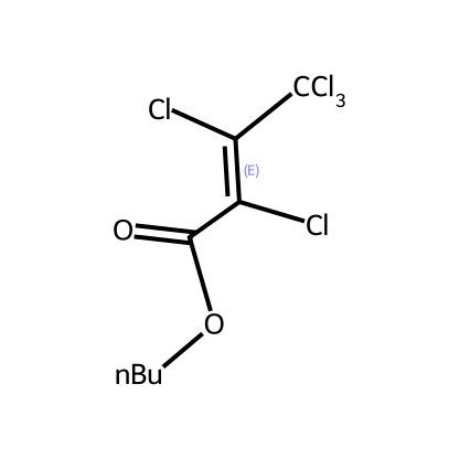 CCCCOC(=O)/C(Cl)=C(\Cl)C(Cl)(Cl)Cl